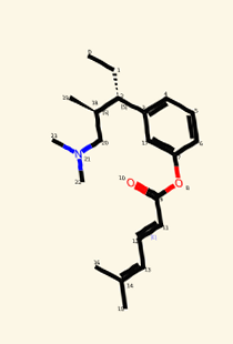 CC[C@H](c1cccc(OC(=O)/C=C/C=C(C)C)c1)[C@H](C)CN(C)C